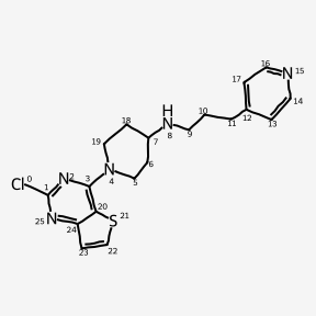 Clc1nc(N2CCC(NCCCc3ccncc3)CC2)c2sccc2n1